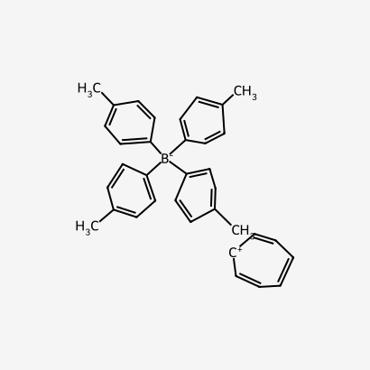 Cc1ccc([B-](c2ccc(C)cc2)(c2ccc(C)cc2)c2ccc(C)cc2)cc1.c1ccc[cH+]cc1